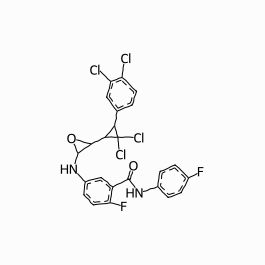 O=C(Nc1ccc(F)cc1)c1cc(NC2OC2C2C(c3ccc(Cl)c(Cl)c3)C2(Cl)Cl)ccc1F